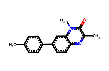 Cc1ccc(-c2ccc3nc(C)c(=O)n(C)c3c2)cc1